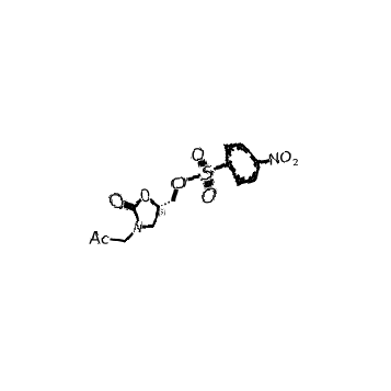 CC(=O)CN1C[C@@H](COS(=O)(=O)c2ccc([N+](=O)[O-])cc2)OC1=O